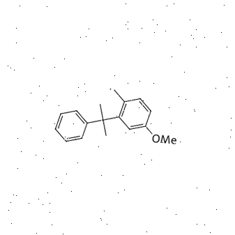 [CH2]c1ccc(OC)cc1C(C)(C)c1ccccc1